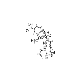 COc1cc(C(=O)O)ccc1NS(=O)(=O)c1csc(-c2ccccc2C(F)(F)F)n1